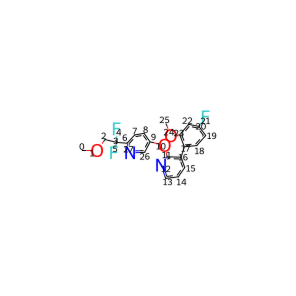 COCC(F)(F)c1ccc(Oc2ncccc2-c2ccc(F)cc2OC)cn1